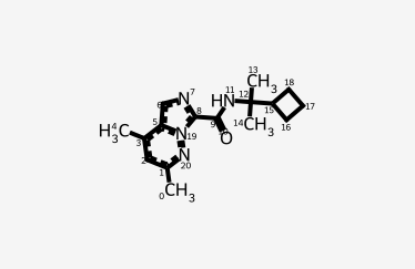 Cc1cc(C)c2cnc(C(=O)NC(C)(C)C3CCC3)n2n1